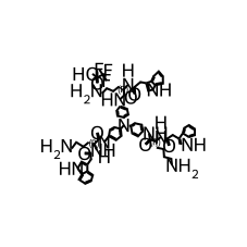 NCCCC[C@@H](NC(=O)Cc1c[nH]c2ccccc12)C(=O)Nc1ccc(N(c2ccc(NC(=O)[C@@H](CCCCN)NC(=O)Cc3c[nH]c4ccccc34)cc2)c2ccc(NC(=O)[C@@H](CCCCN)NC(=O)Cc3c[nH]c4ccccc34)cc2)cc1.O=C(O)C(F)(F)F